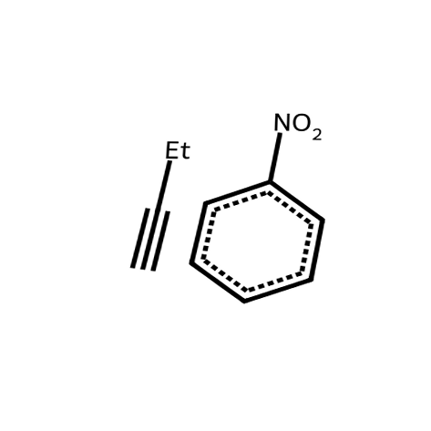 C#CCC.O=[N+]([O-])c1ccccc1